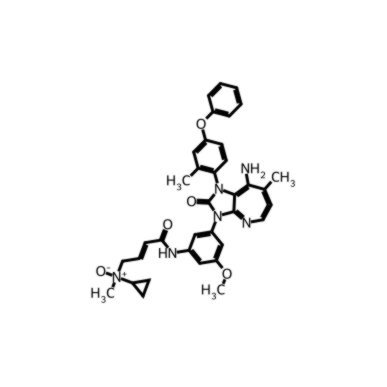 COc1cc(NC(=O)/C=C/C[N+](C)([O-])C2CC2)cc(-n2c3c(n(-c4ccc(Oc5ccccc5)cc4C)c2=O)=C(N)C(C)=C=CN=3)c1